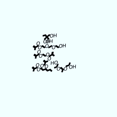 C=C(C)C(=O)OC(CCCCC)OC(=O)C(=C)C.C=C(C)C(=O)OCCOC(=O)C(=C)C.C=C(C)C(=O)OCCOCCOCCO.CC(O)COC(C)COC(C)CO.CCC(CO)(CO)CO